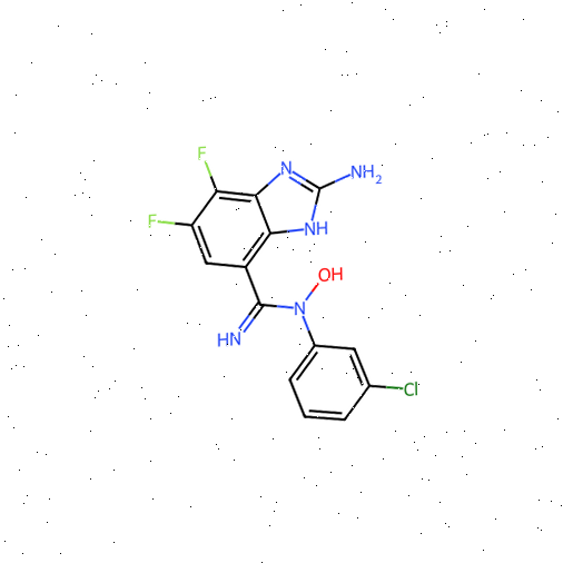 N=C(c1cc(F)c(F)c2nc(N)[nH]c12)N(O)c1cccc(Cl)c1